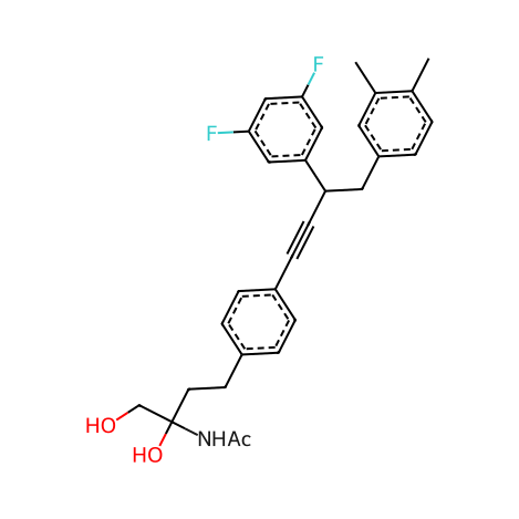 CC(=O)NC(O)(CO)CCc1ccc(C#CC(Cc2ccc(C)c(C)c2)c2cc(F)cc(F)c2)cc1